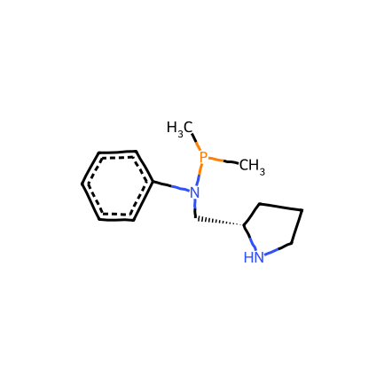 CP(C)N(C[C@@H]1CCCN1)c1ccccc1